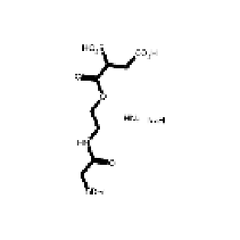 CCCCCCCCCCCC(=O)NCCOC(=O)C(CC(=O)O)S(=O)(=O)O.[NaH].[NaH]